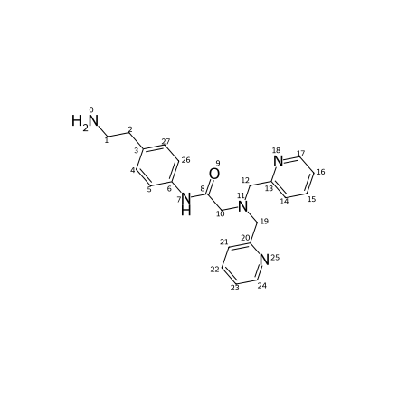 NCCc1ccc(NC(=O)CN(Cc2ccccn2)Cc2ccccn2)cc1